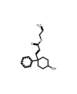 C=CCOC(=O)C=CC1(c2ccccc2)CCC(O)CC1